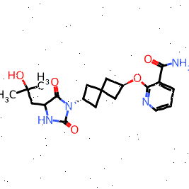 CC(C)(O)CC1NC(=O)N([C@H]2CC3(C[C@H](Oc4ncccc4C(N)=O)C3)C2)C1=O